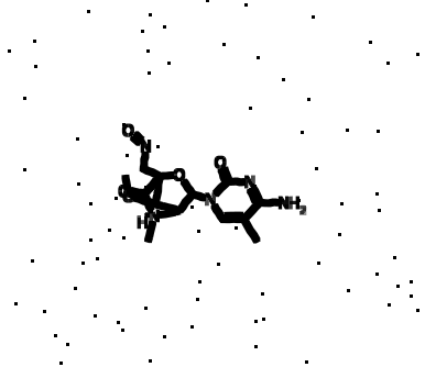 CO[C@@H]1C2C(n3cc(C)c(N)nc3=O)OC1(CN=O)C(=O)N2C